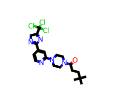 CC(C)(C)CCC(=O)N1CCN(c2cc(C3=NCC(C(Cl)(Cl)Cl)=N3)ccn2)CC1